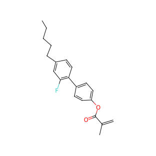 C=C(C)C(=O)Oc1ccc(-c2ccc(CCCCC)cc2F)cc1